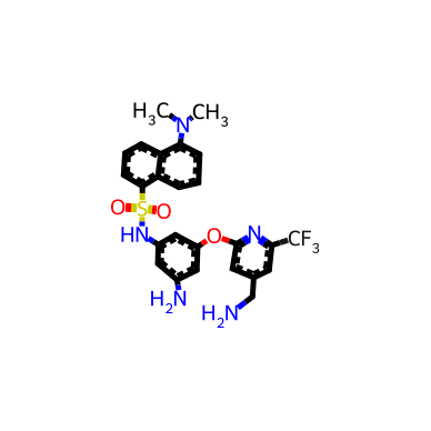 CN(C)c1cccc2c(S(=O)(=O)Nc3cc(N)cc(Oc4cc(CN)cc(C(F)(F)F)n4)c3)cccc12